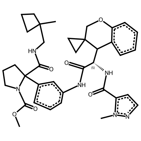 COC(=O)N1CCCC1(C(=O)NCC1(C)CCC1)c1cccc(NC(=O)[C@@H](NC(=O)c2ccnn2C)C2c3ccccc3OCC23CC3)c1